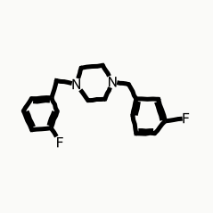 Fc1cccc(CN2CCN(Cc3cccc(F)c3)CC2)c1